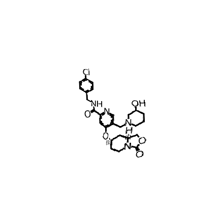 O=C(NCc1ccc(Cl)cc1)c1cc(O[C@H]2CCN3C(=O)OC[C@@H]3C2)c(CN2CCCC(O)C2)cn1